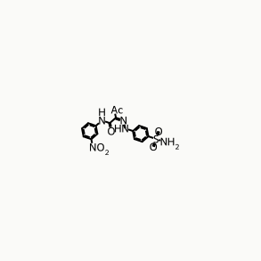 CC(=O)/C(=N/Nc1ccc(S(N)(=O)=O)cc1)C(=O)Nc1cccc([N+](=O)[O-])c1